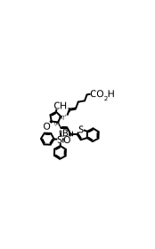 CC1=CC(=O)[C@H](C=CC(O[Si](c2ccccc2)(c2ccccc2)C(C)(C)C)c2cc3ccccc3s2)[C@H]1CC=CCCCC(=O)O